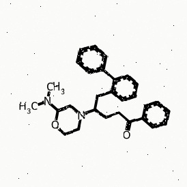 CN(C)C1CN(C(CCC(=O)c2ccccc2)Cc2ccccc2-c2ccccc2)CCO1